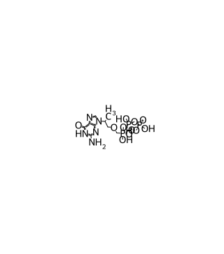 CC(COCP(=O)(O)OP(=O)(O)OP(=O)(O)O)n1cnc2c(=O)[nH]c(N)nc21